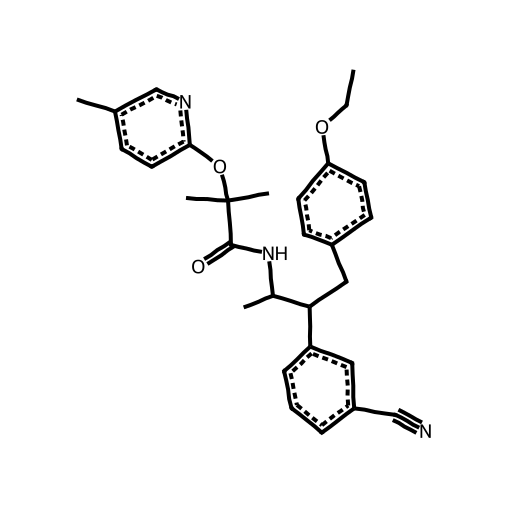 CCOc1ccc(CC(c2cccc(C#N)c2)C(C)NC(=O)C(C)(C)Oc2ccc(C)cn2)cc1